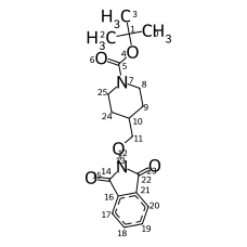 CC(C)(C)OC(=O)N1CCC(CON2C(=O)c3ccccc3C2=O)CC1